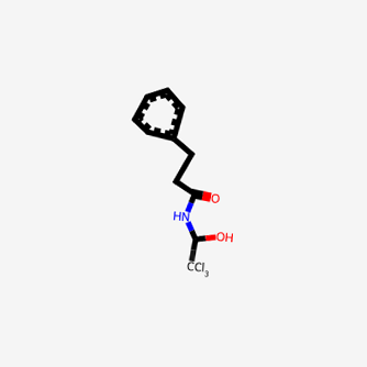 O=C(CCc1ccccc1)NC(O)C(Cl)(Cl)Cl